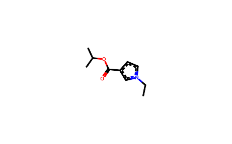 CCn1ccc(C(=O)OC(C)C)c1